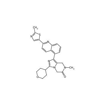 Cc1ncc(-c2ccc3c(-c4nc(C5CCOCC5)n5c4CN(C)C(=O)C5)cccc3n2)s1